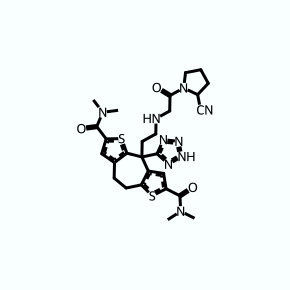 CN(C)C(=O)c1cc2c(s1)CCc1cc(C(=O)N(C)C)sc1C2(CCNCC(=O)N1CCCC1C#N)c1nn[nH]n1